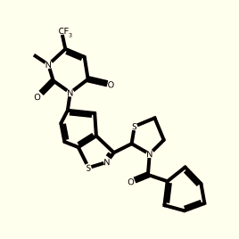 Cn1c(C(F)(F)F)cc(=O)n(-c2ccc3snc(C4SCCN4C(=O)c4ccccc4)c3c2)c1=O